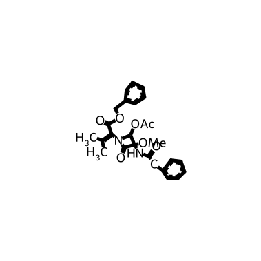 COC1(NC(=O)Cc2ccccc2)C(=O)N(C(C(=O)OCc2ccccc2)=C(C)C)C1OC(C)=O